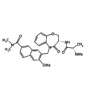 CN[C@@H](C)C(=O)N[C@H]1COc2ccccc2N(Cc2cc3cc(C(=O)N(C)C)ccc3cc2OC)C1=O